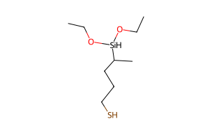 CCO[SiH](OCC)C(C)CCCS